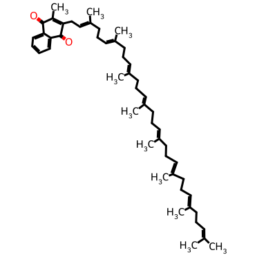 CC(C)=CCC/C(C)=C/CC/C(C)=C/CC/C(C)=C/CC/C(C)=C/CC/C(C)=C/CC/C(C)=C/CC/C(C)=C/CC1=C(C)C(=O)c2ccccc2C1=O